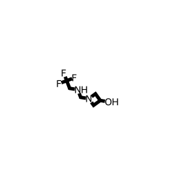 OC1CN(CNCC(F)(F)F)C1